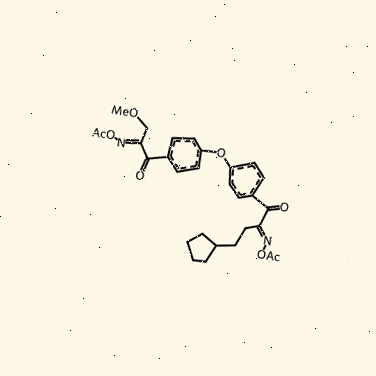 COC/C(=N\OC(C)=O)C(=O)c1ccc(Oc2ccc(C(=O)/C(CCC3CCCC3)=N/OC(C)=O)cc2)cc1